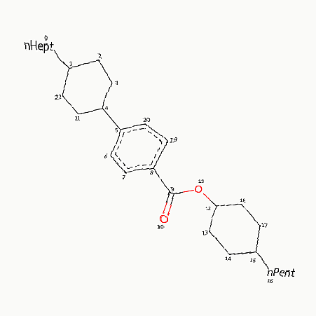 CCCCCCCC1CCC(c2ccc(C(=O)OC3CCC(CCCCC)CC3)cc2)CC1